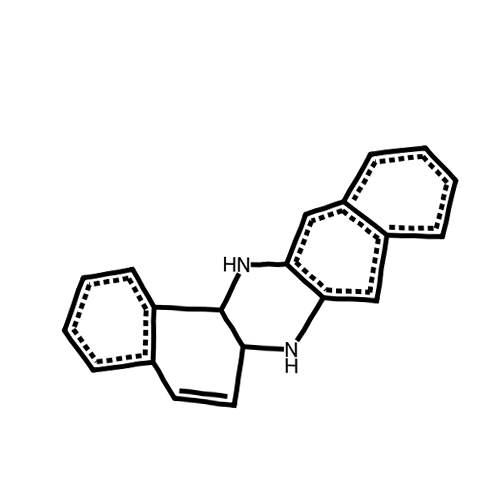 C1=CC2Nc3cc4ccccc4cc3NC2c2ccccc21